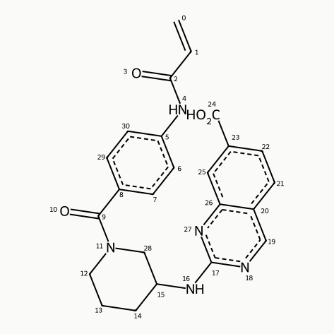 C=CC(=O)Nc1ccc(C(=O)N2CCCC(Nc3ncc4ccc(C(=O)O)cc4n3)C2)cc1